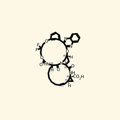 O=C1N[C@H]2CCCCC/C=C\[C@@H]3C[C@@]3(C(=O)O)NC(=O)[C@@H]3C[C@H](CN3C2=O)Oc2nc3ccccc3nc2-c2cccc(c2)OCC(F)(F)CO1